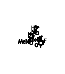 CNC(=O)c1cnc(NC(=O)C2CC2)cc1Nc1cn(C)c2c1C(=O)C(C)C=C2F